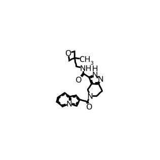 CC1(CNC(=O)c2[nH]nc3c2CN(C(=O)c2cc4ccccn4c2)CC3)COC1